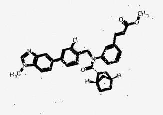 COC(=O)/C=C/c1cccc(N(Cc2ccc(-c3ccc4c(c3)ncn4C)cc2Cl)C(=O)[C@@H]2C[C@@H]3CC[C@H]2C3)c1